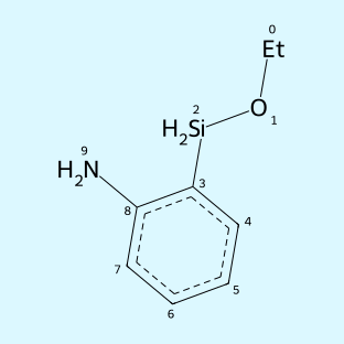 CCO[SiH2]c1ccccc1N